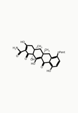 CCCCCc1ccc(O)c2c1C[C@]1(C)C[C@]3(C)CC(O)=C(C(N)=O)C(=O)[C@]3(O)C(O)=C1C2=O